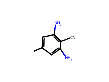 Cc1cc(N)c(C#N)c(N)c1